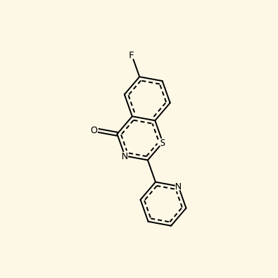 O=c1nc(-c2ccccn2)sc2ccc(F)cc12